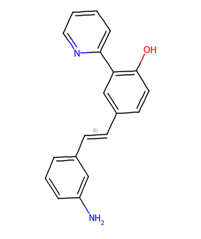 Nc1cccc(/C=C/c2ccc(O)c(-c3ccccn3)c2)c1